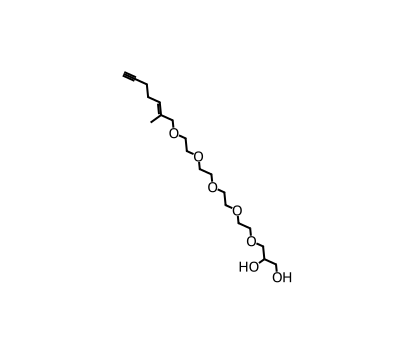 C#CCC/C=C(\C)COCCOCCOCCOCCOCC(O)CO